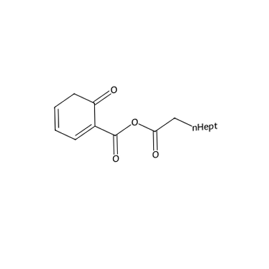 CCCCCCCCC(=O)OC(=O)C1=CC=CCC1=O